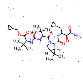 CC(C)(C)C(NC(=O)N[C@H](C(=O)N1C[C@H]2[C@@H]([C@H]1C(=O)NC(CC1CC1)C(=O)C(N)=O)C2(C)C)C(C)(C)C)C(=O)OCC1CC1